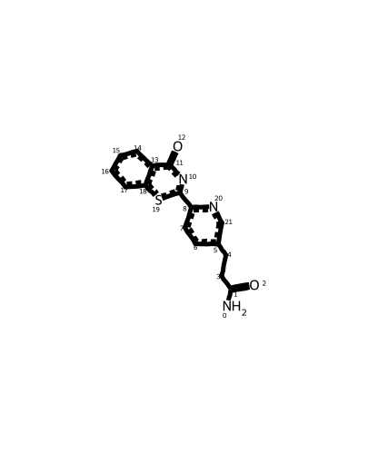 NC(=O)CCc1ccc(-c2nc(=O)c3ccccc3s2)nc1